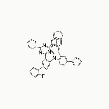 Fc1ccccc1-c1ccc(-n2c3ccc(-c4ccccc4)cc3c3cc(-c4ccccc4)ccc32)c(-c2nc(-c3ccccc3)nc(-c3ccccc3)n2)c1